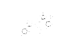 CCOCC(N)OC(c1nc(C)nn1-c1cc(Cl)cnc1C1CC1)[C@@H](O)CN/C=C(\C=N)c1ccc(Cl)c(F)c1F